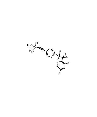 CS(C)(C)C#Cc1ccc(C(F)(F)C2(c3ccc(F)cc3F)CO2)nc1